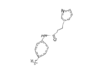 Cc1ccc(NC(=O)CCc2cccnc2)cc1